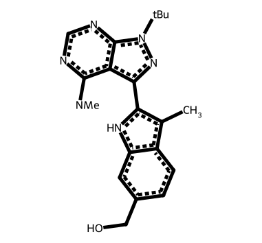 CNc1ncnc2c1c(-c1[nH]c3cc(CO)ccc3c1C)nn2C(C)(C)C